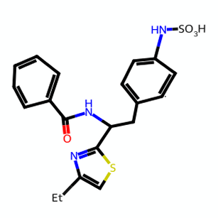 CCc1csc(C(Cc2[c]cc(NS(=O)(=O)O)cc2)NC(=O)c2ccccc2)n1